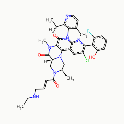 CCNC/C=C/C(=O)N1C[C@@H]2C(=O)N(C)c3c(c4cc(Cl)c(-c5c(O)cccc5F)nc4n(-c4c(C)ccnc4C(C)C)c3=O)N2C[C@H]1C